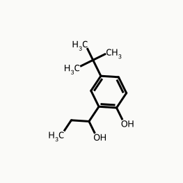 CCC(O)c1cc(C(C)(C)C)ccc1O